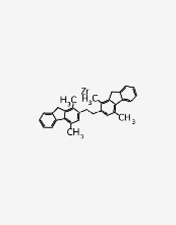 Cc1cc(CCc2cc(C)c3c(c2C)Cc2ccccc2-3)c(C)c2c1-c1ccccc1C2.[Zr]